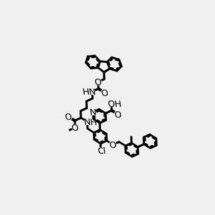 COC(=O)C(CCCCNC(=O)OCC1c2ccccc2-c2ccccc21)NCc1cc(Cl)c(OCc2cccc(-c3ccccc3)c2C)cc1-c1cncc(C(=O)O)c1